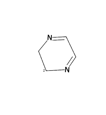 [C]1CN=CC=N1